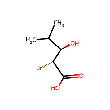 CC(C)[C@@H](O)[C@@H](Br)C(=O)O